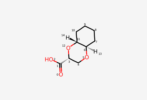 O=C(O)[C@H]1CO[C@@H]2CCCC[C@H]2O1